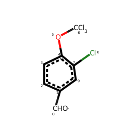 O=[C]c1ccc(OC(Cl)(Cl)Cl)c(Cl)c1